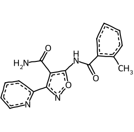 Cc1ccccc1C(=O)Nc1onc(-c2ccccn2)c1C(N)=O